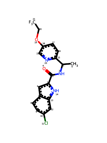 CC(NC(=O)c1cc2ccc(Cl)cc2[nH]1)c1ccc(OCC(F)(F)F)cn1